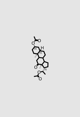 CC(=O)OC(C)[C@H]1CCC2C3CC[C@H]4C[C@@H](OC(C)=O)CC[C@]4(C)C3CC(=O)[C@@]21C